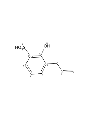 C=CCc1cccc(S(=O)(=O)O)c1O